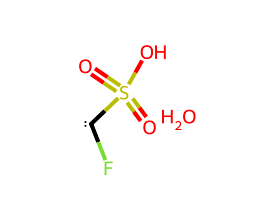 O.O=S(=O)(O)[C]F